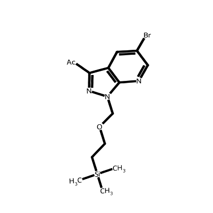 CC(=O)c1nn(COCC[Si](C)(C)C)c2ncc(Br)cc12